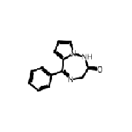 O=C1CN=C(c2ccccc2)c2cccn2N1